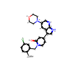 COc1ccc(Cl)cc1Cn1ccc(-c2c[nH]c3ncc(N4CCOCC4)cc23)cc1=O